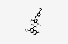 Cc1nn(Cc2nc(C3CC3)no2)c(C)c1NC(=O)c1cc(C(F)(F)F)nc2ncc(Br)cc12